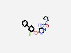 O=C(Nc1cc(Oc2ccc(-c3ccccc3)cc2F)ncn1)N1CCCC1